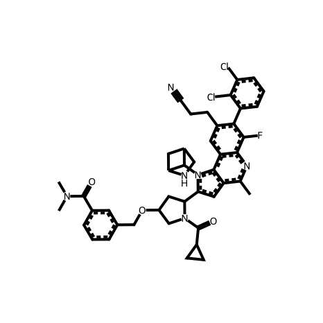 Cc1nc2c(F)c(-c3cccc(Cl)c3Cl)c(CCC#N)cc2c2c1cc(C1CC(OCc3cccc(C(=O)N(C)C)c3)CN1C(=O)C1CC1)n2C1C2CNC1C2